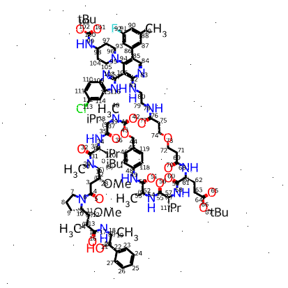 CC[C@H](C)[C@@H]([C@@H](CC(=O)N1CCC[C@H]1[C@H](OC)[C@@H](C)C(=O)N[C@H](C)[C@@H](O)c1ccccc1)OC)N(C)C(=O)[C@@H](NC(=O)[C@H](C(C)C)N(C)C(=O)OCc1ccc(NC(=O)[C@H](C)NC(=O)[C@@H](NC(=O)[C@H](CCC(=O)OC(C)(C)C)NC(=O)CCOCCC(=O)NCCNc2ncc(-c3cc(C)cc(F)c3)c(N3CCC(NC(=O)OC(C)(C)C)CC3)c2-c2nc3ccc(Cl)cc3[nH]2)C(C)C)cc1)C(C)C